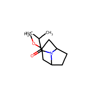 COC1CC2CCC(C1)N2C(=O)C(C)C